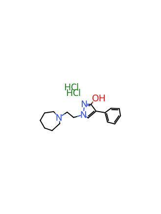 Cl.Cl.Oc1nn(CCN2CCCCCC2)cc1-c1ccccc1